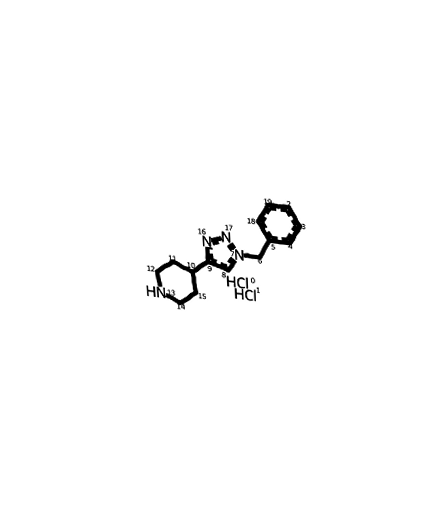 Cl.Cl.c1ccc(Cn2cc(C3CCNCC3)nn2)cc1